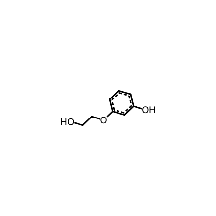 OCCOc1cccc(O)c1